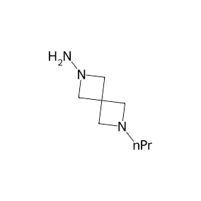 CCCN1CC2(CN(N)C2)C1